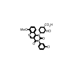 COc1cccc2c1ncc1c(=O)n(-c3cccc(Cl)c3)c(=O)n([C@H]3CC[C@@H](C(=O)O)CC3)c12.Cl